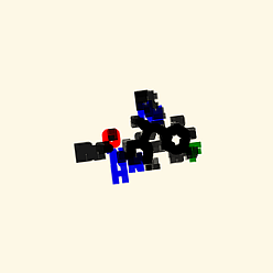 CCC(C)C(=O)Nc1cc(-c2cn(CC)nc2-c2ccc(F)cc2)ccn1